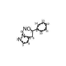 Cn1nccc1CC(C#N)c1ccccc1